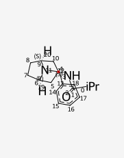 CC(C)C(=O)N[C@@H]1C[C@H]2CC[C@@H](C1)N2Cc1ccccc1